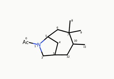 CC(=O)N1CC2CC1CC(C)(C)C(C)C2